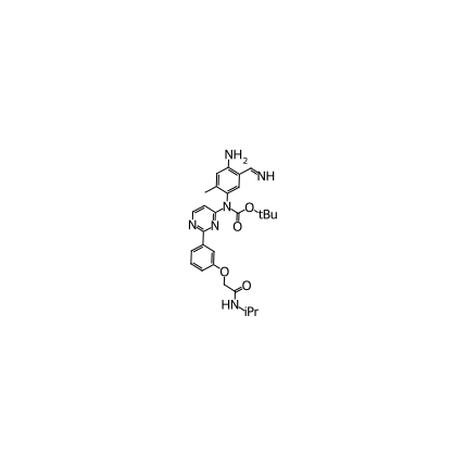 Cc1cc(N)c(C=N)cc1N(C(=O)OC(C)(C)C)c1ccnc(-c2cccc(OCC(=O)NC(C)C)c2)n1